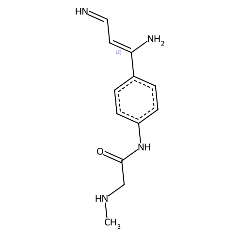 CNCC(=O)Nc1ccc(/C(N)=C/C=N)cc1